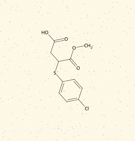 [CH2]OC(=O)C(CC(=O)O)Sc1ccc(Cl)cc1